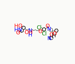 O=C(c1cc(Cl)c(OCCCCCNC[C@H](O)c2ccc(O)c3[nH]c(=O)ccc23)c(Cl)c1)N1CCC(C(=O)O[C@H]2CN3CCC2CC3)(c2ccccc2)CC1